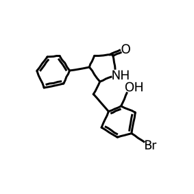 O=C1CC(c2ccccc2)C(Cc2ccc(Br)cc2O)N1